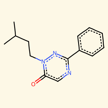 CC(C)CCn1nc(-c2ccccc2)ncc1=O